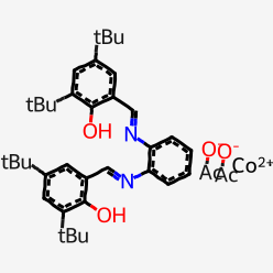 CC(=O)[O-].CC(=O)[O-].CC(C)(C)c1cc(C=Nc2ccccc2N=Cc2cc(C(C)(C)C)cc(C(C)(C)C)c2O)c(O)c(C(C)(C)C)c1.[Co+2]